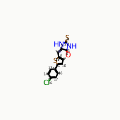 O=C1NC(=S)N/C1=C/c1ccc(-c2ccc(Cl)cc2)s1